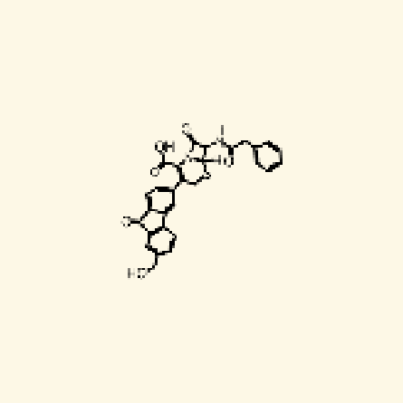 O=C(Cc1ccccc1)N[C@@H]1C(=O)N2C(C(=O)O)=C(c3ccc4c(c3)-c3ccc(CO)cc3C4=O)CS[C@@H]12